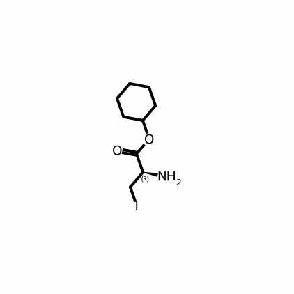 N[C@@H](CI)C(=O)OC1CCCCC1